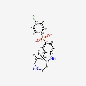 CC1CNCCC2Nc3ccc(S(=O)(=O)c4ccc(F)cc4)cc3[C@@H]12